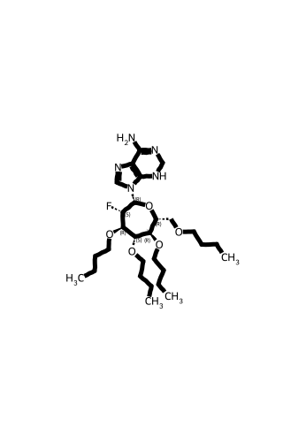 CCCCOC[C@H]1O[C@@H](n2cnc3c2NCN=C3N)[C@@H](F)[C@H](OCCCC)[C@@H](OCCCC)[C@@H]1OCCCC